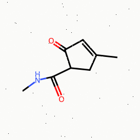 CNC(=O)C1CC(C)=CC1=O